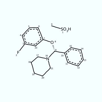 CS(=O)(=O)O.Fc1cccc(O[C@H](c2ccccc2)N2CCCCC2)c1